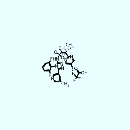 CO[C@H](c1ncc(C)cn1)[C@H](C)S(=O)(=O)Nc1nnc(-c2cncc(C)c2)n1-c1c(F)cccc1F.O=C(O)C(F)(F)F